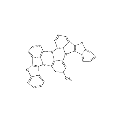 Cc1cc2c3c(c1)-n1c4c(cccc4c4oc5ccccc5c41)B3c1cccc3c4oc5ccccc5c4n-2c13